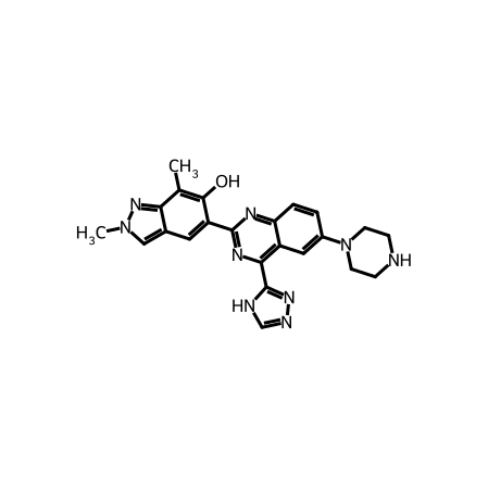 Cc1c(O)c(-c2nc(-c3nnc[nH]3)c3cc(N4CCNCC4)ccc3n2)cc2cn(C)nc12